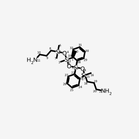 C=C[Si](C)(O[Si](C)(C)CCCN)O[Si](O[Si](C)(C)CCCN)(c1ccccc1)c1ccccc1